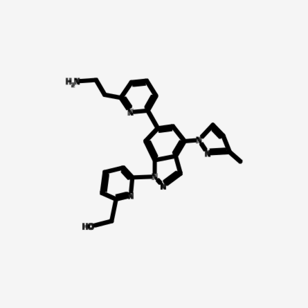 Cc1ccn(-c2cc(-c3cccc(CCN)n3)cc3c2cnn3-c2cccc(CO)n2)n1